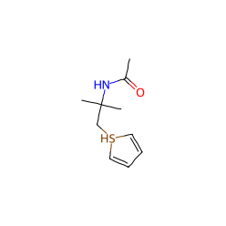 CC(=O)NC(C)(C)C[SH]1C=CC=C1